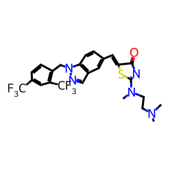 CN(C)CCN(C)C1=NC(=O)C(=Cc2ccc3c(cnn3Cc3ccc(C(F)(F)F)cc3C(F)(F)F)c2)S1